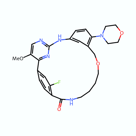 COc1cnc2nc1-c1ccc(c(F)c1)C(=O)NCCCCOCc1cc(ccc1N1CCOCC1)N2